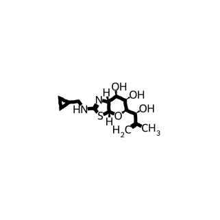 C=C(C)[C@@H](O)[C@H]1O[C@@H]2SC(NCC3CC3)=N[C@@H]2[C@@H](O)[C@@H]1O